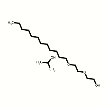 CC(C)O.CCCCCCCCCCCCOCCOCCO